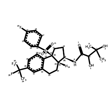 CC(C)(O)C(O)C(=O)N[C@@H]1CC[C@@]2(S(=O)(=O)c3ccc(F)cc3)c3ccc(C(F)(C(F)(F)F)C(F)(F)F)cc3CC[C@@H]12